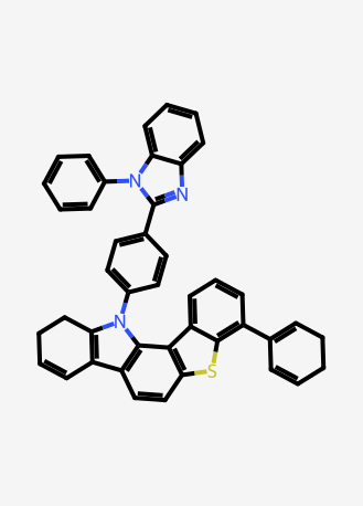 C1=CC(c2cccc3c2sc2ccc4c5c(n(-c6ccc(-c7nc8ccccc8n7-c7ccccc7)cc6)c4c23)CCC=C5)=CCC1